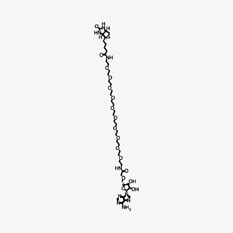 Nc1ncnc2c1ncn2C1O[C@H](COCC(=O)NCCOCCOCCOCCOCCOCCOCCOCCOCCOCCOCCNC(=O)CCCC[C@@H]2SC[C@@H]3NC(=O)N[C@@H]32)[C@@H](O)[C@H]1O